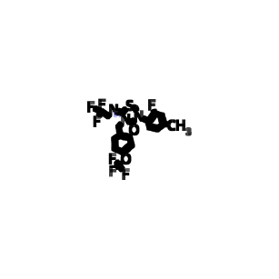 Cc1ccc(N2CS/C(=N/CC(F)(F)F)N(Cc3ccc(OC(F)(F)F)cc3)C2=O)c(F)c1